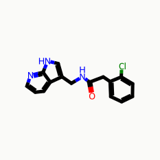 O=C(Cc1ccccc1Cl)NCc1c[nH]c2ncccc12